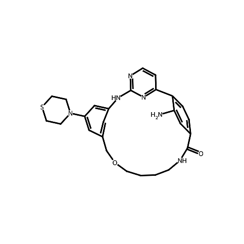 Nc1cc2ccc1-c1ccnc(n1)Nc1cc(cc(N3CCSCC3)c1)COCCCCNC2=O